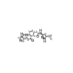 O=C(Cc1ccc2[nH]c(-c3cnc[nH]3)cc(=O)c2c1)Nc1cc(C2CC2)[nH]n1